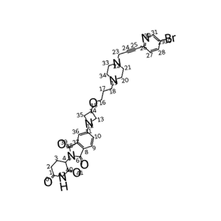 O=C1CCC(N2C(=O)c3ccc(N4CC(OCCCN5CCN(CC#Cc6ccc(Br)cn6)CC5)C4)cc3C2=O)C(=O)N1